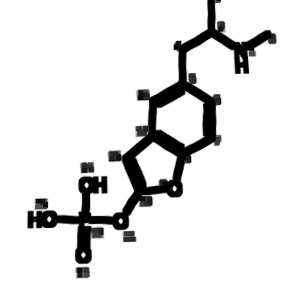 CNC(C)Cc1ccc2oc(OP(=O)(O)O)cc2c1